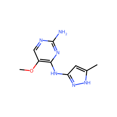 COc1cnc(N)nc1Nc1cc(C)[nH]n1